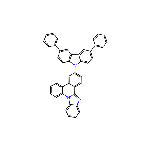 c1ccc(-c2ccc3c(c2)c2cc(-c4ccccc4)ccc2n3-c2ccc3c(c2)c2ccccc2n2c4ccccc4nc32)cc1